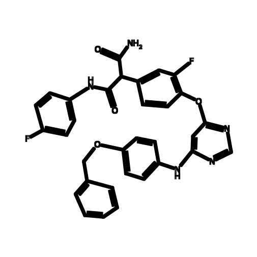 NC(=O)C(C(=O)Nc1ccc(F)cc1)c1ccc(Oc2cc(Nc3ccc(OCc4ccccc4)cc3)ncn2)c(F)c1